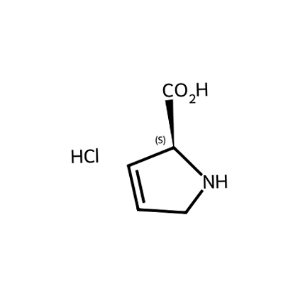 Cl.O=C(O)[C@@H]1C=CCN1